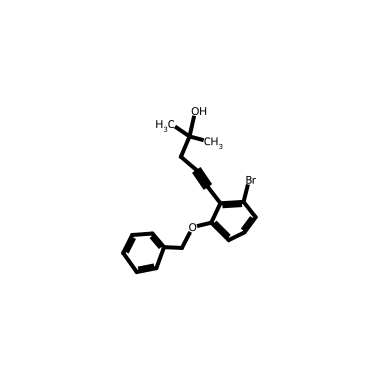 CC(C)(O)CC#Cc1c(Br)cccc1OCc1ccccc1